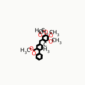 COC(=O)c1cc(Cc2c(C)c(OC)c(OC)c(OC)c2OC)ccc1-c1ccccc1